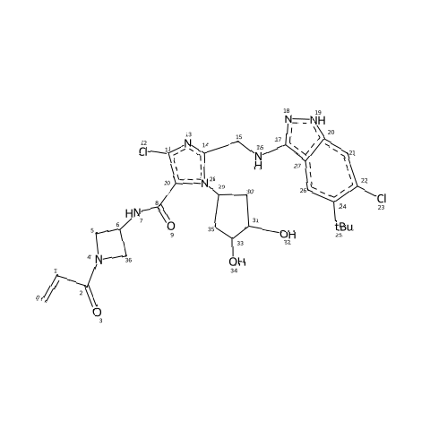 C=CC(=O)N1CC(NC(=O)c2c(Cl)nc(CNc3n[nH]c4cc(Cl)c(C(C)(C)C)cc34)n2C2CC(O)C(O)C2)C1